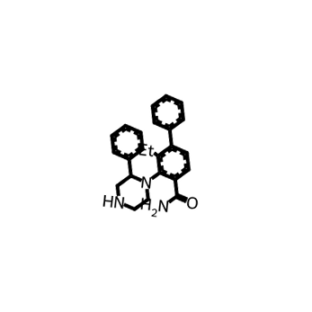 CCc1c(-c2ccccc2)ccc(C(N)=O)c1N1CCNCC1c1ccccc1